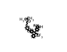 CN(C)C(=O)C=CCN1CCC(Oc2ccc(/C(=C(/CC(F)(F)F)c3ccccc3)c3ccc4[nH]nc(F)c4c3)cn2)CC1